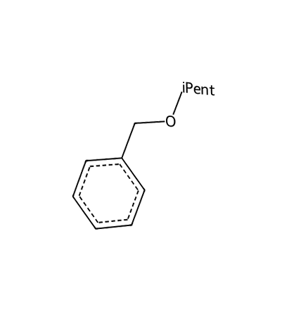 [CH2]C(CCC)OCc1ccccc1